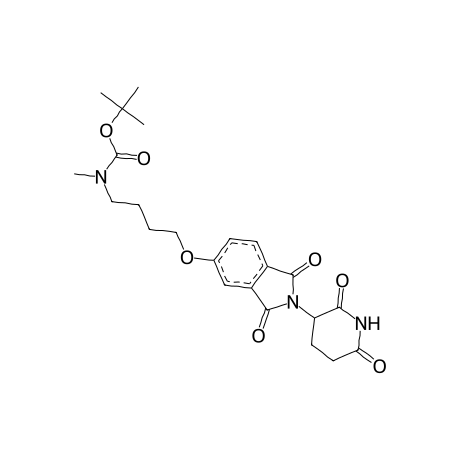 CN(CCCCOc1ccc2c(c1)C(=O)N(C1CCC(=O)NC1=O)C2=O)C(=O)OC(C)(C)C